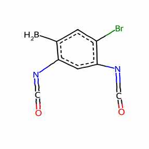 Bc1cc(Br)c(N=C=O)cc1N=C=O